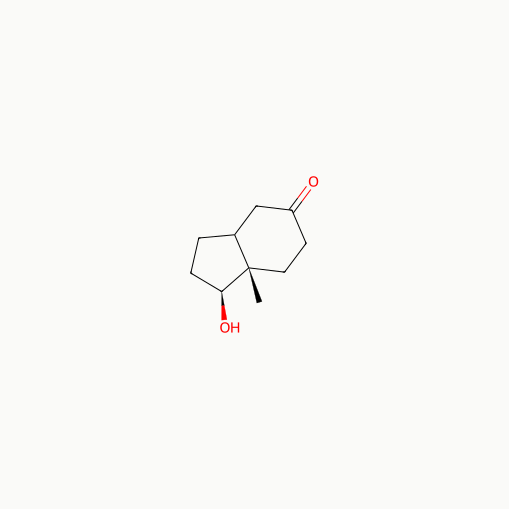 C[C@]12CCC(=O)CC1CC[C@@H]2O